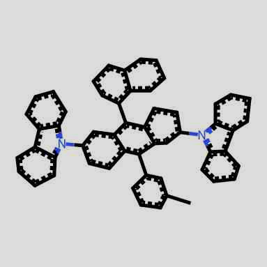 Cc1cccc(-c2c3cc(-n4c5ccccc5c5ccccc54)ccc3c(-c3cccc4ccccc34)c3cc(-n4c5ccccc5c5ccccc54)ccc23)c1